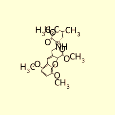 COC(=O)C1Oc2c(OC)ccc(OC)c2C=C1CN[C@@H](CC(C)C)C(=O)OC